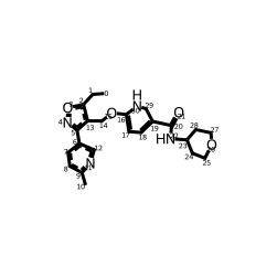 CCc1onc(-c2ccc(C)nc2)c1COC1=CC=C(C(=O)NC2CCOCC2)CN1